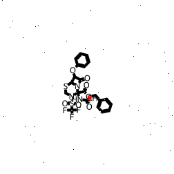 CC(=O)NC1(C(=O)OCc2ccccc2)N2C(=O)C(Oc3ccccc3)C2SCN1S(=O)(=O)C(F)(F)F